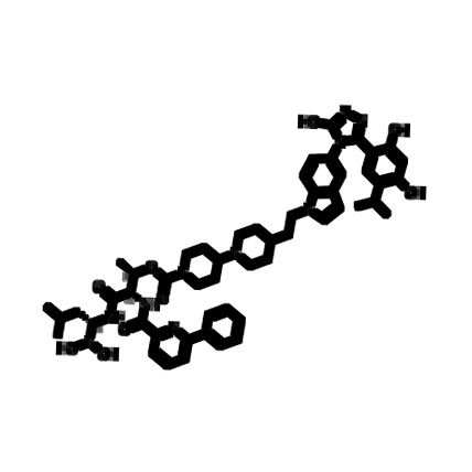 CC(C)C[C@H](NC(=O)[C@@H](NC(=O)c1cccc(-c2ccccc2)n1)[C@@H](C)OC(=O)N1CCC(N2CCC(CCn3ccc4cc(-n5c(O)nnc5-c5cc(C(C)C)c(O)cc5O)ccc43)CC2)CC1)B(O)O